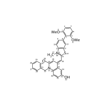 COc1cccc(OC)c1-c1ccc2c(c1)sc(C=C1C=C(Cl)N(Cc3ccccc3)c3ccc(O)cc31)[n+]2C